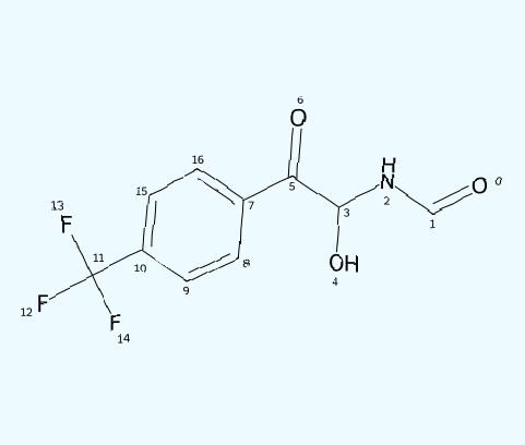 O=CNC(O)C(=O)c1ccc(C(F)(F)F)cc1